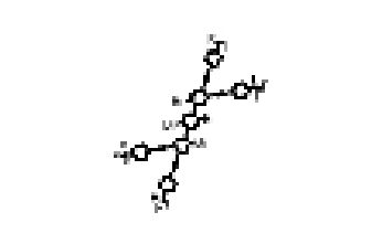 FC(F)(F)c1ccc(C#Cc2cc(Br)c(-c3cc(Br)c(-c4cc(C#Cc5ccc(C(F)(F)F)cc5)c(C#Cc5ccc(C(F)(F)F)cc5)cc4Br)cc3Br)cc2C#Cc2ccc(C(F)(F)F)cc2)cc1